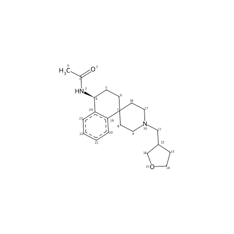 CC(=O)N[C@H]1CCC2(CCN(CC3CCOC3)CC2)c2ccccc21